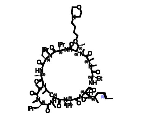 C/C=C/C[C@@H](C)[C@H]1ON2C(=O)[C@H](C(C)C)N(C)C(=O)[C@@H]3CC(C)N(C(=O)[C@H](C)NC(=O)[C@H](CC(C)C)N(C)C(=O)[C@H](C(C)C)NC(=O)[C@H]([C@@H](C)OCCCCN4CCOCC4)N(C)C(=O)[C@@H](C)N(C)C(=O)[C@H](CC)NC(=O)[C@H]12)[C@H](C)C(=O)N(C)[C@@H](CC(C)C)C(=O)N3C